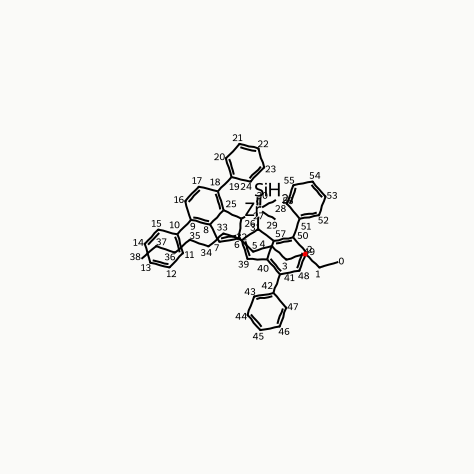 CCCCCCC1=Cc2c(-c3ccccc3)ccc(-c3ccccc3)c2[CH]1[Zr]([CH3])([CH3])(=[SiH2])[CH]1C(CCCCCC)=Cc2c(-c3ccccc3)ccc(-c3ccccc3)c21